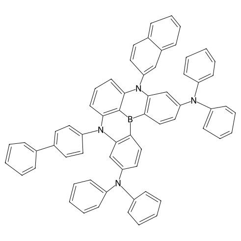 c1ccc(-c2ccc(N3c4cc(N(c5ccccc5)c5ccccc5)ccc4B4c5ccc(N(c6ccccc6)c6ccccc6)cc5N(c5ccc6ccccc6c5)c5cccc3c54)cc2)cc1